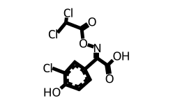 O=C(O)/C(=N/OC(=O)C(Cl)Cl)c1ccc(O)c(Cl)c1